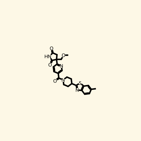 COCC1(c2ccc(C(=O)N3CCC(c4nc5ccc(C)cc5s4)CC3)cn2)CC(=O)NC1=O